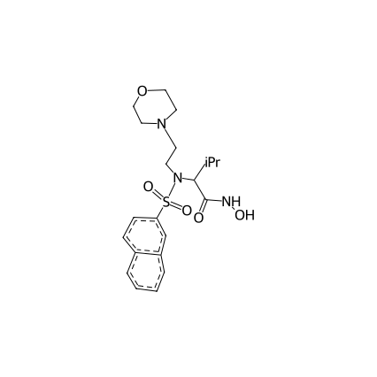 CC(C)C(C(=O)NO)N(CCN1CCOCC1)S(=O)(=O)c1ccc2ccccc2c1